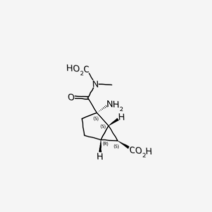 CN(C(=O)O)C(=O)[C@]1(N)CC[C@H]2[C@H](C(=O)O)[C@H]21